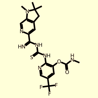 CNC(=O)Oc1cc(C(F)(F)F)cnc1NC(=S)NC(=N)c1cc2c(cn1)N(C)C(C)(C)C2